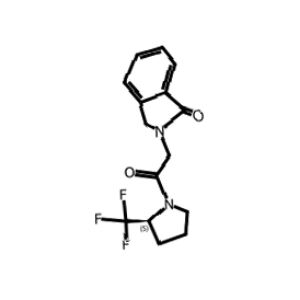 O=C1c2ccccc2CN1CC(=O)N1CCC[C@H]1C(F)(F)F